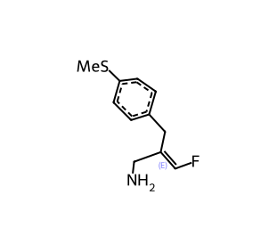 CSc1ccc(C/C(=C\F)CN)cc1